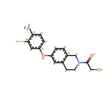 O=C(CCl)N1CCc2cc(Oc3ccc(C(F)(F)F)c(F)c3)ccc2C1